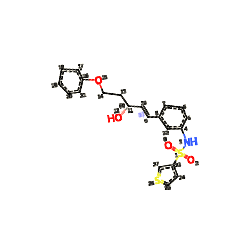 O=S(=O)(Nc1cccc(/C=C/[C@H](O)CCOc2[c]cccc2)c1)c1ccsc1